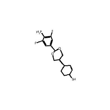 Fc1cc(C2OCC(C3CCC(S)CC3)CO2)cc(F)c1P